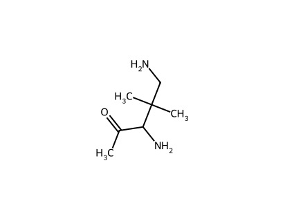 CC(=O)C(N)C(C)(C)CN